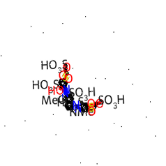 CNc1ccc2c(OC)c(/N=N/c3cc(S(=O)(=O)CCOS(=O)(=O)O)cc(S(=O)(=O)O)c3O)c(S(=O)(=O)O)cc2c1/N=N/c1ccc(S(=O)(=O)CCOS(=O)(=O)O)cc1S(=O)(=O)O